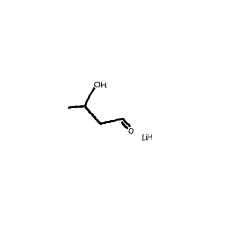 CC(O)CC=O.[LiH]